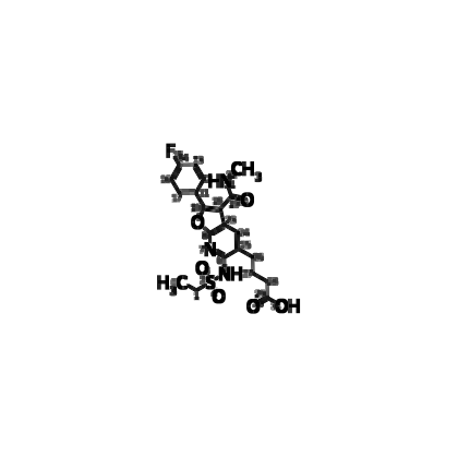 CCS(=O)(=O)Nc1nc2oc(-c3ccc(F)cc3)c(C(=O)NC)c2cc1CCCC(=O)O